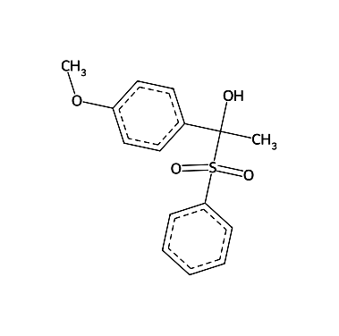 COc1ccc(C(C)(O)S(=O)(=O)c2ccccc2)cc1